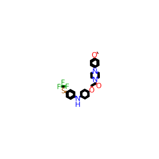 COc1ccc(N2CCN(C(=O)CO[C@H]3CC[C@H](Nc4ccc(SC(F)(F)F)cc4)CC3)CC2)cc1